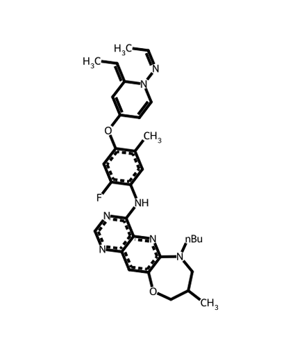 C/C=N\N1C=CC(Oc2cc(F)c(Nc3ncnc4cc5c(nc34)N(CCCC)CC(C)CO5)cc2C)=C/C1=C\C